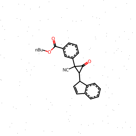 CCCCOC(=O)c1cccc(C2(C#N)C(=O)C2C2C=Cc3ccccc32)c1